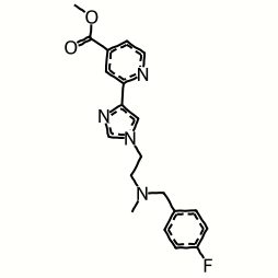 COC(=O)c1ccnc(-c2cn(CCN(C)Cc3ccc(F)cc3)cn2)c1